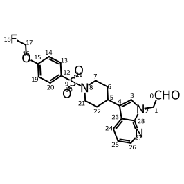 O=CCn1cc(C2CCN(S(=O)(=O)c3ccc(OCF)cc3)CC2)c2cccnc21